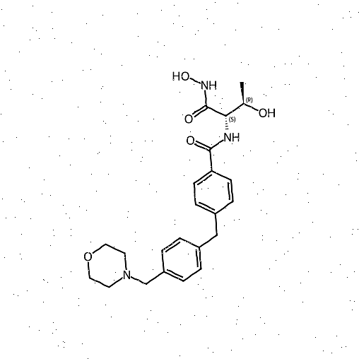 C[C@@H](O)[C@H](NC(=O)c1ccc(Cc2ccc(CN3CCOCC3)cc2)cc1)C(=O)NO